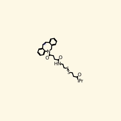 CC(C)C(=O)CCSSCCNC(=O)CCC(=O)N1Cc2ccccc2/C=C\c2ccccc21